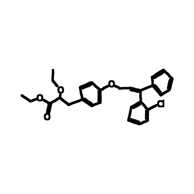 CCOC(=O)C(Cc1ccc(OCC=C(c2ccccc2)c2ccccc2Cl)cc1)OCC